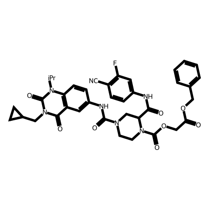 CC(C)n1c(=O)n(CC2CC2)c(=O)c2cc(NC(=O)N3CCN(C(=O)OCC(=O)OCc4ccccc4)C(C(=O)Nc4ccc(C#N)c(F)c4)C3)ccc21